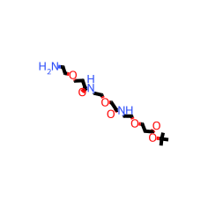 CC(C)(C)OC(=O)CCOCCNC(=O)COCCNC(=O)CCOCCN